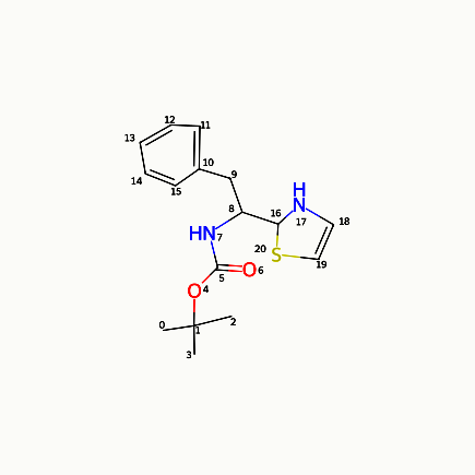 CC(C)(C)OC(=O)NC(Cc1ccccc1)C1NC=CS1